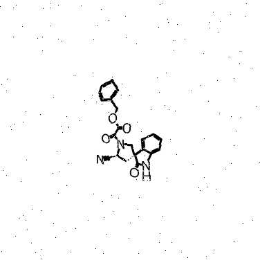 N#C[C@@H]1C[C@@]2(CN1C(=O)C(=O)OCc1ccccc1)C(=O)Nc1ccccc12